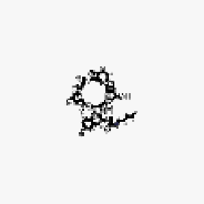 CCCC/C=C/C(=O)N[C@@H](Cc1cc(F)cc(F)c1)C(=O)N[C@@H]1C(=O)N2C[C@H](O)C[C@H]2C(=O)N2CCCC[C@H]2C(=O)N[C@@H](C)C(=O)N2C[C@H](C)CC2C(=O)O[C@H]1C